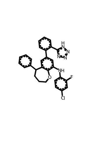 Fc1cc(Cl)ccc1Nc1cc(-c2ccccc2-c2nnn[nH]2)cc2c1OCCCC2c1ccccc1